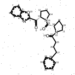 O=C(c1nc2ccccc2o1)[C@@H]1CCCN1C(=O)[C@@H]1CCCN1C(=O)CCCc1ccccc1